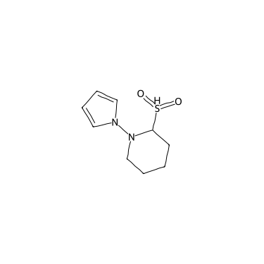 O=[SH](=O)C1CCCCN1n1cccc1